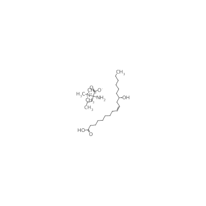 CCCC(N)(C(=O)[O-])[N+](C)(C)C.CCCCCC[C@@H](O)C/C=C\CCCCCCCC(=O)O